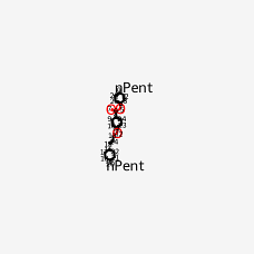 CCCCCc1ccc(OC(=O)c2ccc(OC/C=C/[C@H]3CC[C@H](CCCCC)CC3)cc2)cc1